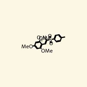 COc1cc(OC)c(C=C([N+](=O)[O-])S(=O)(=O)c2ccc(C)cc2)c(OC)c1